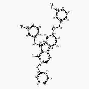 Cc1c2c(cc[n+]1Cc1ccccc1)c1ccc(OCc3cccc(F)c3)cc1n2Cc1cccc(F)c1